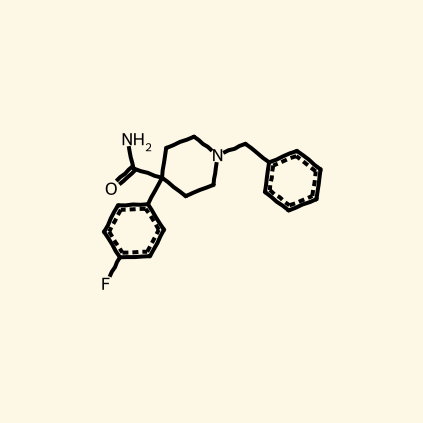 NC(=O)C1(c2ccc(F)cc2)CCN(Cc2ccccc2)CC1